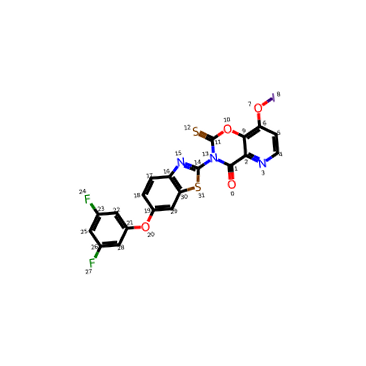 O=c1c2nccc(OI)c2oc(=S)n1-c1nc2ccc(Oc3cc(F)cc(F)c3)cc2s1